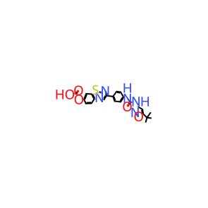 CC(C)(C)c1cc(NC(=O)Nc2ccc(-c3cn4c(n3)sc3cc(OC(=O)O)ccc34)cc2)no1